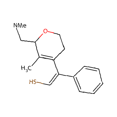 CNCC1OCCC(/C(=C\S)c2ccccc2)=C1C